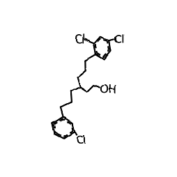 OCCC(CCCc1cccc(Cl)c1)CCCc1ccc(Cl)cc1Cl